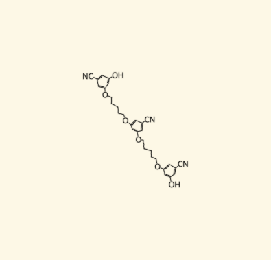 N#Cc1cc(O)cc(OCCCCCOc2cc(C#N)cc(OCCCCCOc3cc(O)cc(C#N)c3)c2)c1